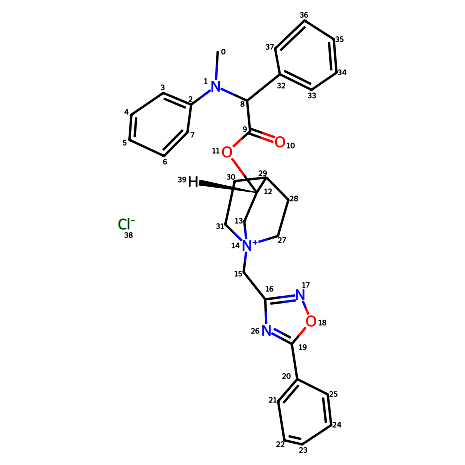 CN(c1ccccc1)C(C(=O)O[C@H]1C[N+]2(Cc3noc(-c4ccccc4)n3)CCC1CC2)c1ccccc1.[Cl-]